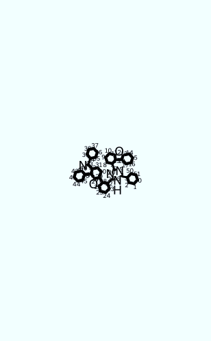 c1ccc(C2=NC(c3cccc4oc5ccccc5c34)=NC(c3cccc4oc5c(ccc6c(-c7ccccc7)nc7ccccc7c65)c34)N2)cc1